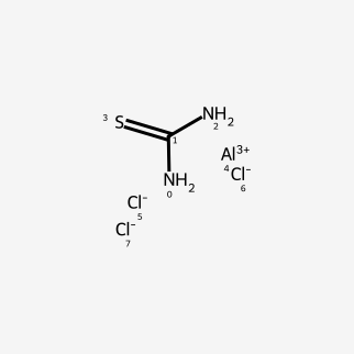 NC(N)=S.[Al+3].[Cl-].[Cl-].[Cl-]